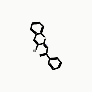 C=C(/C=C1/Sc2ccccc2C=C1CC)c1ccccc1